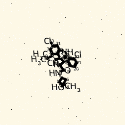 CC(C)(C)C[C@H]1N=C(C(=O)N[C@H]2C[C@@](C)(O)C2)[C@H](c2cccc(Cl)c2F)[C@@]12C(=O)Nc1cc(Cl)ccc12